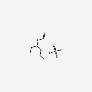 C=COC(CC)OCC.O=S(=O)(F)F